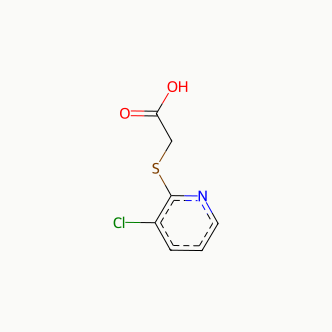 O=C(O)CSc1ncccc1Cl